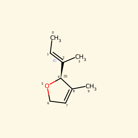 C/C=C(\C)[C@@H]1OCC=C1C